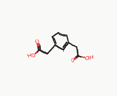 O=C(O)Cc1[c]c(CC(=O)O)ccc1